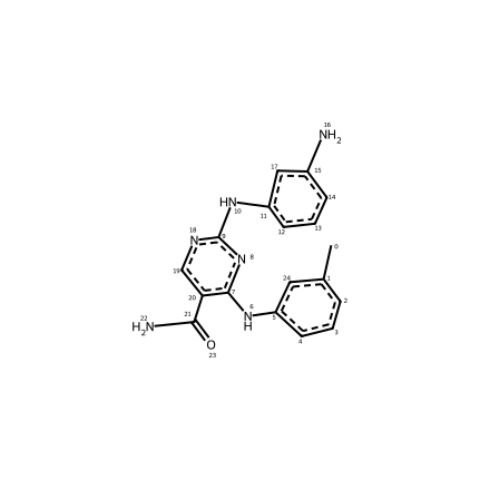 Cc1cccc(Nc2nc(Nc3cccc(N)c3)ncc2C(N)=O)c1